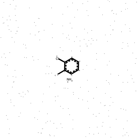 Clc1ccccc1I.N